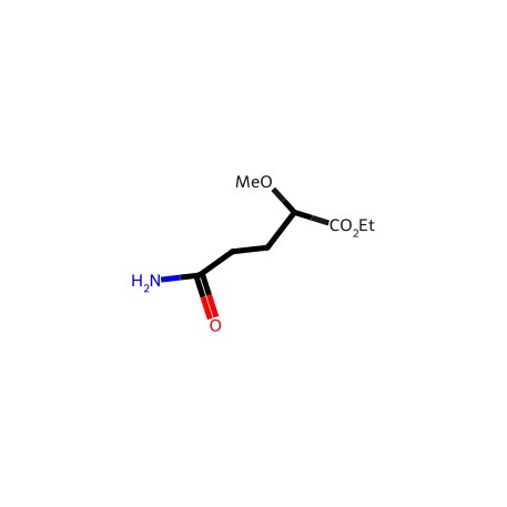 CCOC(=O)C(CCC(N)=O)OC